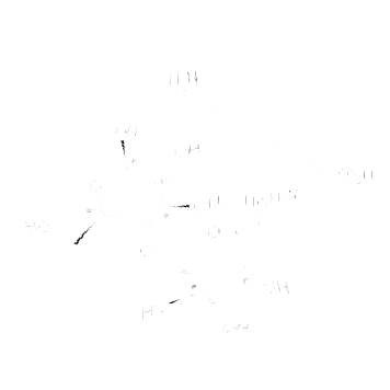 NCCCCC(N)C(=O)O.OC[C@H]1O[C@@H](O[C@H]2[C@H](O)[C@@H](O)[C@H](O)O[C@@H]2CO)[C@H](O)[C@@H](O)[C@H]1O